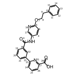 O=C(Nc1ccc(OCCc2ccccc2)nc1)c1cccc(-c2cccc(C(=O)O)n2)c1